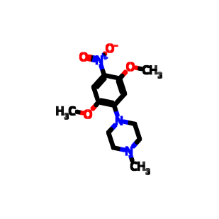 COc1cc([N+](=O)[O-])c(OC)cc1N1CCN(C)CC1